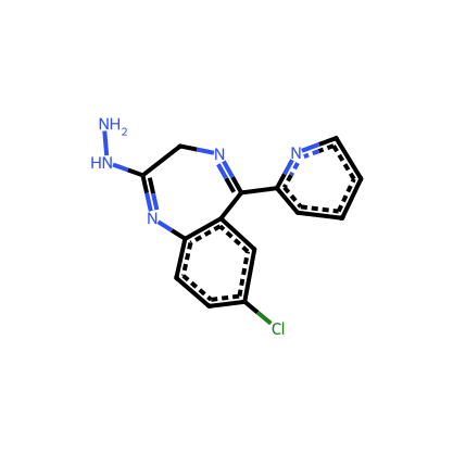 NNC1=Nc2ccc(Cl)cc2C(c2ccccn2)=NC1